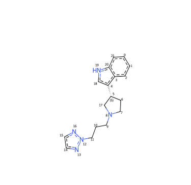 c1ccc2c([C@@H]3CCN(CCCn4nccn4)C3)c[nH]c2c1